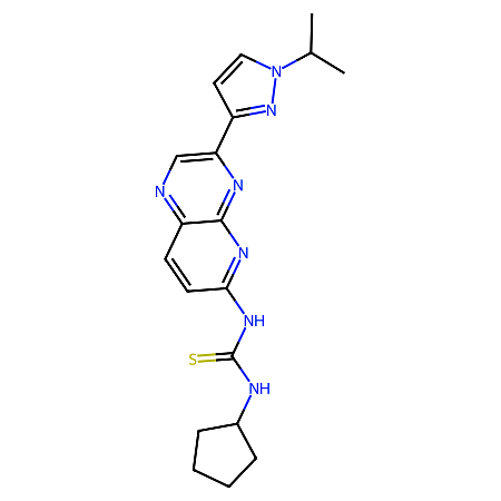 CC(C)n1ccc(-c2cnc3ccc(NC(=S)NC4CCCC4)nc3n2)n1